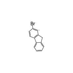 Brc1[c]c2c(cc1)-c1ccccc1C2